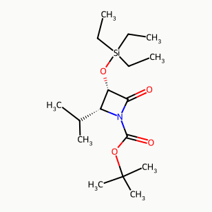 CC[Si](CC)(CC)O[C@@H]1C(=O)N(C(=O)OC(C)(C)C)[C@@H]1C(C)C